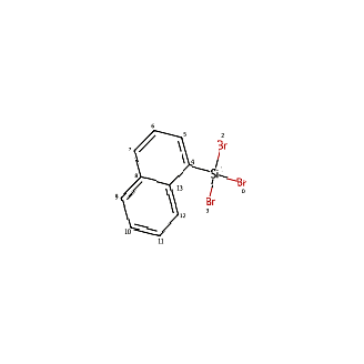 Br[Si](Br)(Br)c1cccc2ccccc12